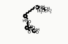 CC(C)(C)OC(=O)NC1CCN(CCCCCCCc2cccc(CNC(=O)COc3cccc4c3C(=O)N(C3CCC(=O)NC3=O)C4=O)c2)CC1